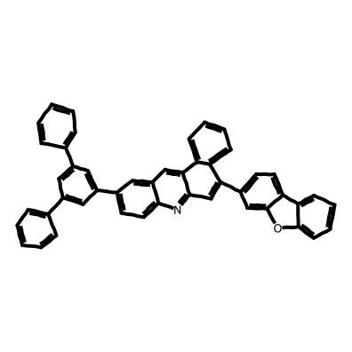 c1ccc(-c2cc(-c3ccccc3)cc(-c3ccc4nc5cc(-c6ccc7c(c6)oc6ccccc67)c6ccccc6c5cc4c3)c2)cc1